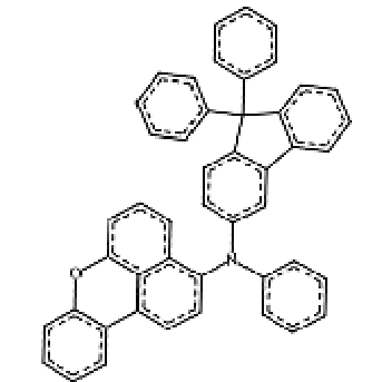 c1ccc(N(c2ccc3c(c2)-c2ccccc2C3(c2ccccc2)c2ccccc2)c2ccc3c4c(cccc24)Oc2ccccc2-3)cc1